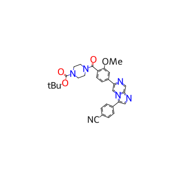 COc1cc(-c2cn3c(-c4ccc(C#N)cc4)cnc3cn2)ccc1C(=O)N1CCN(C(=O)OC(C)(C)C)CC1